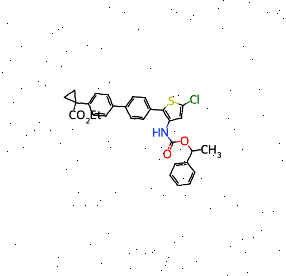 CCOC(=O)C1(c2ccc(-c3ccc(-c4sc(Cl)cc4NC(=O)OC(C)c4ccccc4)cc3)cc2)CC1